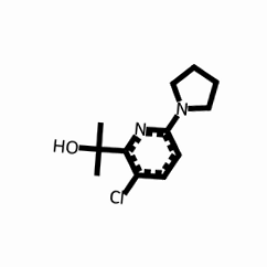 CC(C)(O)c1nc(N2CCCC2)ccc1Cl